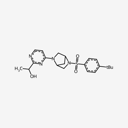 CC(O)c1nccc(N2CC3CC2CN3S(=O)(=O)c2ccc(C(C)(C)C)cc2)n1